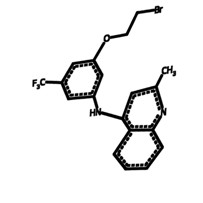 Cc1cc(Nc2cc(OCCBr)cc(C(F)(F)F)c2)c2ccccc2n1